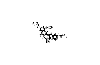 CN(c1ccnc(OCC(F)(F)F)c1)N(C[C@@H](O)C(C)(C)C)C(=O)NCc1ccnc(OCC(F)(F)F)c1.Cl